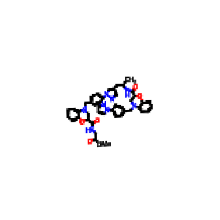 COC(=O)CNC(=O)C1CN(Cc2ccc(-n3cc(CC(C)NC(=O)C4CN(Cc5ccc(-n6cccn6)cc5)c5ccccc5O4)cn3)cc2)c2ccccc2O1